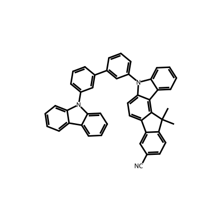 CC1(C)c2ccc(C#N)cc2-c2ccc3c(c21)c1ccccc1n3-c1cccc(-c2cccc(-n3c4ccccc4c4ccccc43)c2)c1